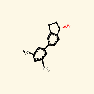 Cc1cc(C)cc(-c2ccc3c(c2)CC[C@@H]3O)c1